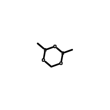 CB1OCOB(C)O1